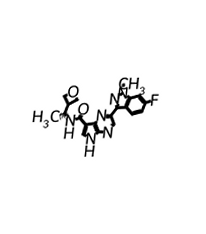 C[C@@H](NC(=O)c1c[nH]c2ncc(-c3nn(C)c4cc(F)ccc34)nc12)C1COC1